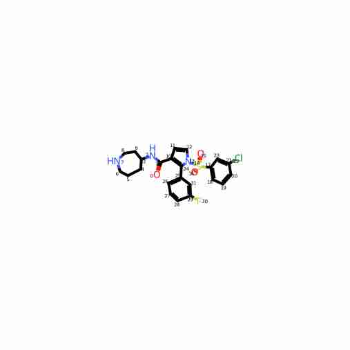 O=C(NC1CCCNCC1)c1ccn(S(=O)(=O)c2cccc(Cl)c2)c1-c1cccc(F)c1